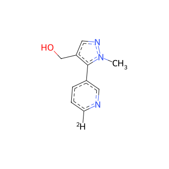 [2H]c1ccc(-c2c(CO)cnn2C)cn1